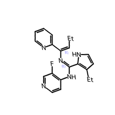 CC/C=C(/N=C(/Nc1ccncc1F)c1[nH]ccc1CC)c1ccccn1